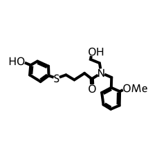 COc1ccccc1CN(CCO)C(=O)CCCSc1ccc(O)cc1